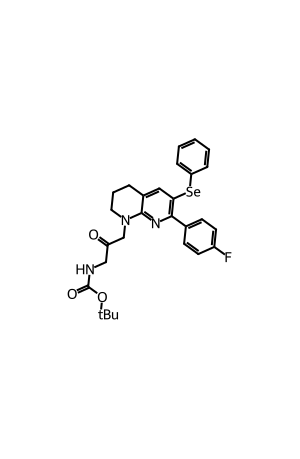 CC(C)(C)OC(=O)NCC(=O)CN1CCCc2cc([Se]c3ccccc3)c(-c3ccc(F)cc3)nc21